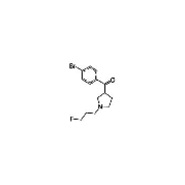 O=C(c1ccc(Br)cc1)C1CCN(CCCF)C1